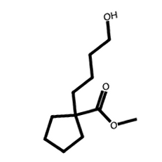 COC(=O)C1(CCCCO)CCCC1